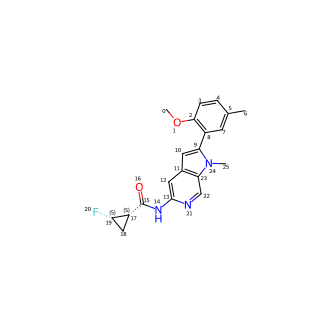 COc1ccc(C)cc1-c1cc2cc(NC(=O)[C@@H]3C[C@@H]3F)ncc2n1C